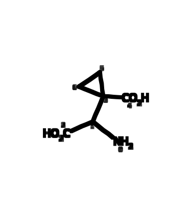 NC(C(=O)O)C1(C(=O)O)CC1